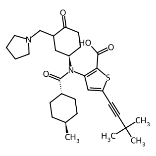 CC(C)(C)C#Cc1cc(N(C(=O)[C@H]2CC[C@H](C)CC2)[C@@H]2CCC(=O)C(CN3CCCC3)C2)c(C(=O)O)s1